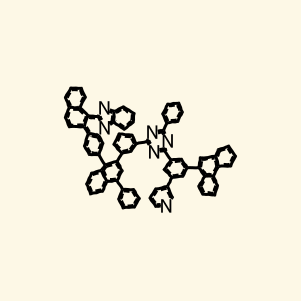 c1ccc(-c2nc(-c3cccc(-c4cc(-c5ccccc5)c5ccccc5c4-c4ccc5c6ccc7ccccc7c6c6nc7ccccc7n6c5c4)c3)nc(-c3cc(-c4cccnc4)cc(-c4cc5ccccc5c5ccccc45)c3)n2)cc1